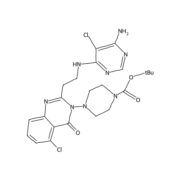 CC(C)(C)OC(=O)N1CCN(n2c(CCNc3ncnc(N)c3Cl)nc3cccc(Cl)c3c2=O)CC1